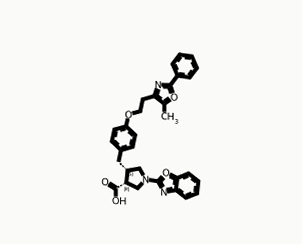 Cc1oc(-c2ccccc2)nc1CCOc1ccc(C[C@@H]2CN(c3nc4ccccc4o3)C[C@@H]2C(=O)O)cc1